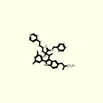 CCOC(=O)C(C)Cc1ccc2[nH]c(-c3cc(C)cc(C)c3)c(C(C)C(N)(CCCCc3ccncc3)C(=O)OCc3ccccc3)c2c1